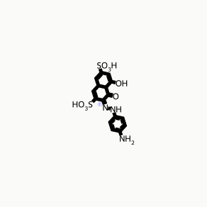 Nc1ccc(N/N=C2\C(=O)C3C(O)=CC(S(=O)(=O)O)=CC3C=C2S(=O)(=O)O)cc1